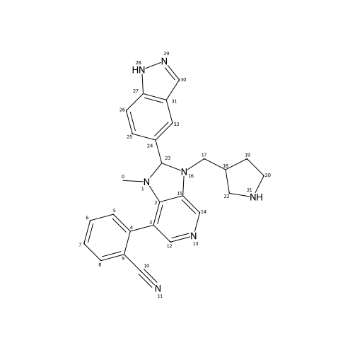 CN1c2c(-c3ccccc3C#N)cncc2N(CC2CCNC2)C1c1ccc2[nH]ncc2c1